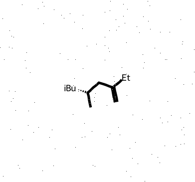 C=C(CC)CC(C)[C@@H](C)CC